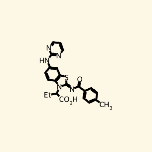 CCC(C(=O)O)n1c(=NC(=O)c2ccc(C)cc2)sc2cc(Nc3ncccn3)ccc21